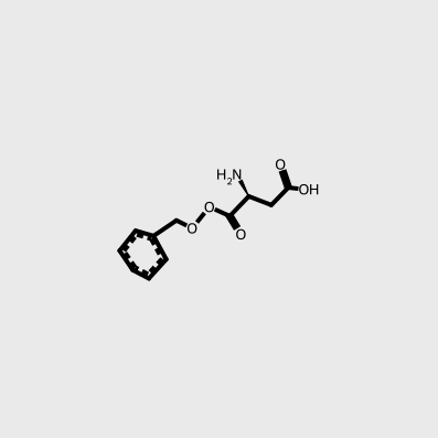 N[C@@H](CC(=O)O)C(=O)OOCc1ccccc1